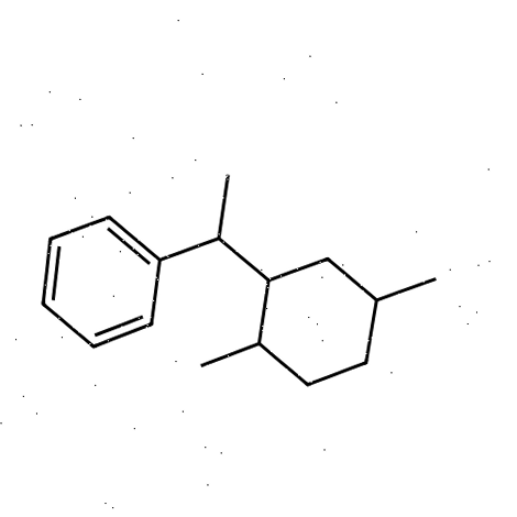 CC1CCC(C)C(C(C)c2ccccc2)C1